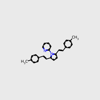 Cc1ccc(C=Cc2ccc(C=Cc3ccc(C)cc3)n2-c2ccccn2)cc1